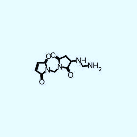 NCNC1CC(=O)N(CN2C(=O)C=CC2=O)C1=O